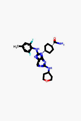 Cc1cc(F)c(Nc2nc3cnc(NC4CCOCC4)nc3n2[C@H]2CC[C@@H](C(N)=O)CC2)c(F)c1